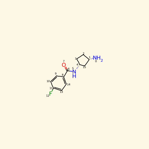 N[C@H]1CC[C@@H](NC(=O)c2ccc(F)cc2)C1